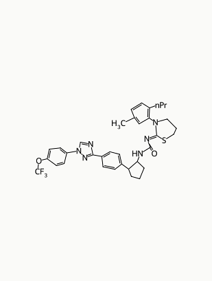 CCCc1ccc(C)cc1N1CCCS/C1=N\C(=O)NC1CCCC1c1ccc(-c2ncn(-c3ccc(OC(F)(F)F)cc3)n2)cc1